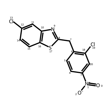 O=[N+]([O-])c1ccc(Cc2nc3cc(Cl)ccc3s2)c(Cl)c1